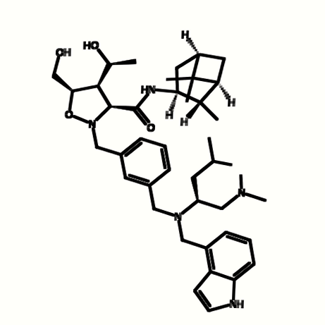 CC(C)C[C@@H](CN(C)C)N(Cc1cccc(CN2O[C@@H](CO)[C@@H]([C@H](C)O)[C@H]2C(=O)N[C@H]2C[C@H]3C[C@@H]([C@@H]2C)C3(C)C)c1)Cc1cccc2[nH]ccc12